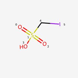 O=S(=O)(O)CI